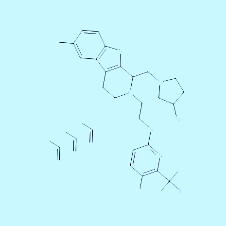 NC1CCN(CC2c3[nH]c4ccc(Cl)cc4c3CCN2CCNc2ccc(Cl)c(C(F)(F)F)n2)C1.O=CO.O=CO.O=CO